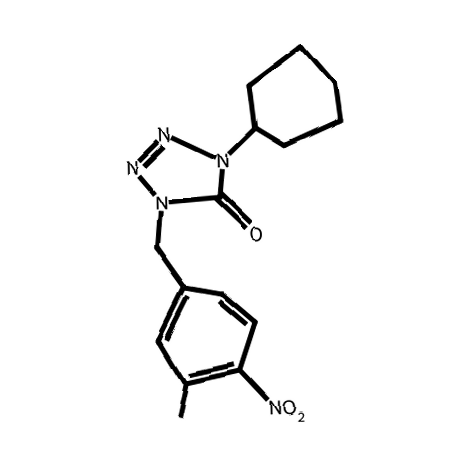 Cc1cc(Cn2nnn(C3CCCCC3)c2=O)ccc1[N+](=O)[O-]